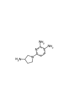 Nc1ccc(N2CCC(N)C2)nc1N